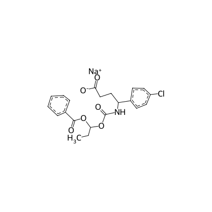 CCC(OC(=O)NC(CCC(=O)[O-])c1ccc(Cl)cc1)OC(=O)c1ccccc1.[Na+]